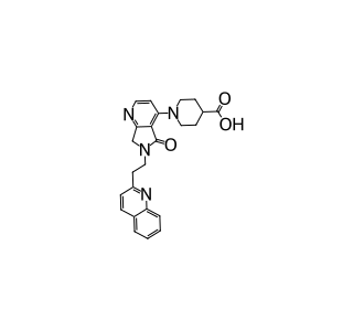 O=C(O)C1CCN(c2ccnc3c2C(=O)N(CCc2ccc4ccccc4n2)C3)CC1